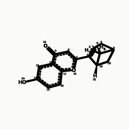 CC1(C)C2CC=C(c3cc(=O)c4cc(O)ccc4o3)[C@H]1C2